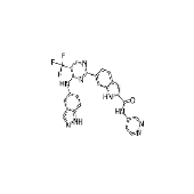 O=C(Nc1ccnnc1)c1cc2ccc(-c3ncc(C(F)(F)F)c(Nc4ccc5[nH]ncc5c4)n3)cc2[nH]1